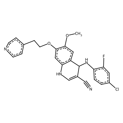 COc1cc2c(cc1OCCc1ccncc1)NC=C(C#N)C2Nc1ccc(Cl)cc1F